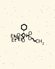 C=CCOC(=O)N1C(=O)[C@H](O[Si](CC)(CC)CC)[C@@H]1C1CCCCC1